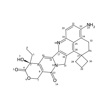 CC[C@@]1(O)C(=O)OCc2c1cc1n(c2=O)Cc2c-1nc1ccc(N)c3c1c2C1(CCC1)CC3